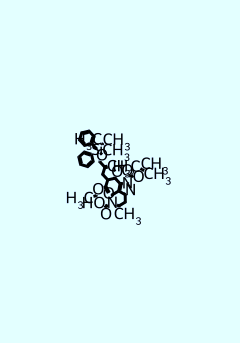 C=C(CO[Si](c1ccccc1)(c1ccccc1)C(C)(C)C)CC(C(=O)OCC)C(=O)c1c2c(nn1C(=O)OC(C)(C)C)CC(C)N(C(=O)O)C2